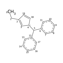 CCC1=C[C](C(c2ccccc2)c2ccccc2)C=C1